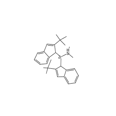 C[SiH](C)[Zr]([CH]1C(C(C)(C)C)=Cc2ccccc21)[CH]1C(C(C)(C)C)=Cc2ccccc21